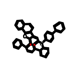 c1ccc(-c2ccc(-c3ccccc3N(c3ccc(-c4ccccc4)cc3)c3ccc4oc5c6ccccc6ccc5c4c3)cc2)cc1